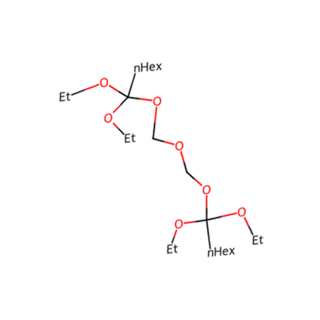 CCCCCCC(OCC)(OCC)OCOCOC(CCCCCC)(OCC)OCC